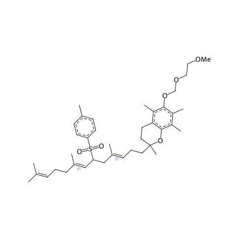 COCCOCOc1c(C)c(C)c2c(c1C)CCC(C)(CC/C=C(\C)CC(/C=C(\C)CCC=C(C)C)S(=O)(=O)c1ccc(C)cc1)O2